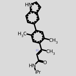 C/C(=C\C(=O)NC(C)C)c1cc(C)c(-c2ccc3[nH]ccc3c2)cc1C